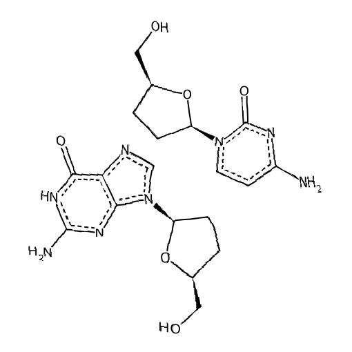 Nc1ccn([C@H]2CC[C@@H](CO)O2)c(=O)n1.Nc1nc2c(ncn2[C@H]2CC[C@@H](CO)O2)c(=O)[nH]1